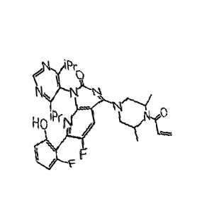 C=CC(=O)N1C(C)CN(c2nc(=O)n(-c3c(C(C)C)ncnc3C(C)C)c3nc(-c4c(O)cccc4F)c(F)cc23)CC1C